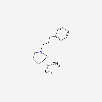 CC(C)[C@@H]1CCCN(CCCc2ccccc2)C1